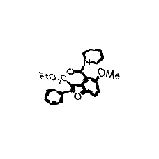 CCOC(=O)c1c(-c2ccccc2)oc2ccc(OC)c(C(=O)N3CCCCC3)c12